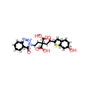 O=C(CC(CCn1nnc2ccccc2c1=O)(C(=O)O)C(=O)O)c1cc2ccc(O)cc2s1